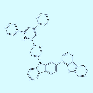 C1=Cc2sc3c(-c4ccc5c6ccccc6n(-c6ccc(C7N=C(c8ccccc8)C=C(c8ccccc8)N7)cc6)c5c4)cccc3c2CC1